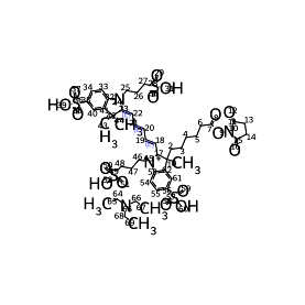 CC1(CCCCCC(=O)ON2C(=O)CCC2=O)C(/C=C/C=C/C=C2/N(CCCS(=O)(=O)O)c3ccc(S(=O)(=O)O)cc3C2(C)C)=[N+](CCCS(=O)(=O)O)c2ccc(S(=O)(=O)O)cc21.CCN(CC)CC